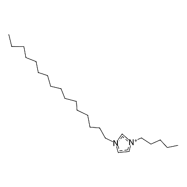 CCCCCCCCCCCCCCCCn1cc[n+](CCCCC)c1